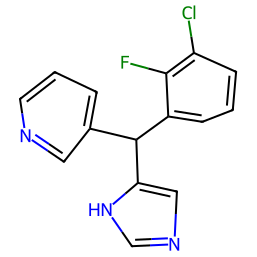 Fc1c(Cl)cccc1C(c1cccnc1)c1cnc[nH]1